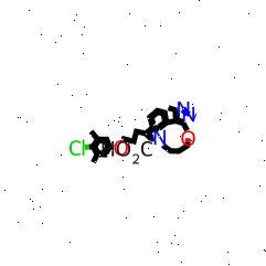 Cc1cc(OCCCc2c(C(=O)O)n3c4c(cccc24)-c2c(C)nn(C)c2COCCCC3)cc(C)c1Cl